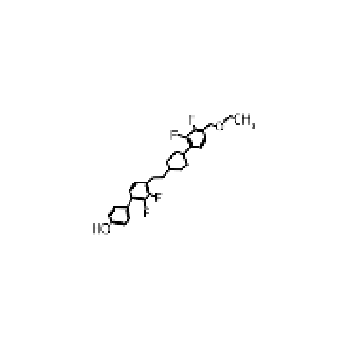 CCOCc1ccc(C2CCC(CCc3ccc(-c4ccc(O)cc4)c(F)c3F)CC2)c(F)c1F